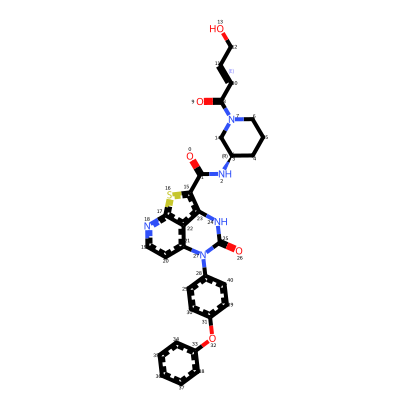 O=C(N[C@@H]1CCCN(C(=O)/C=C/CO)C1)c1sc2nccc3c2c1NC(=O)N3c1ccc(Oc2ccccc2)cc1